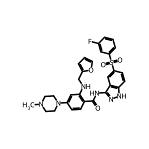 CN1CCN(c2ccc(C(=O)Nc3n[nH]c4ccc(S(=O)(=O)c5cccc(F)c5)cc34)c(NCc3ccco3)c2)CC1